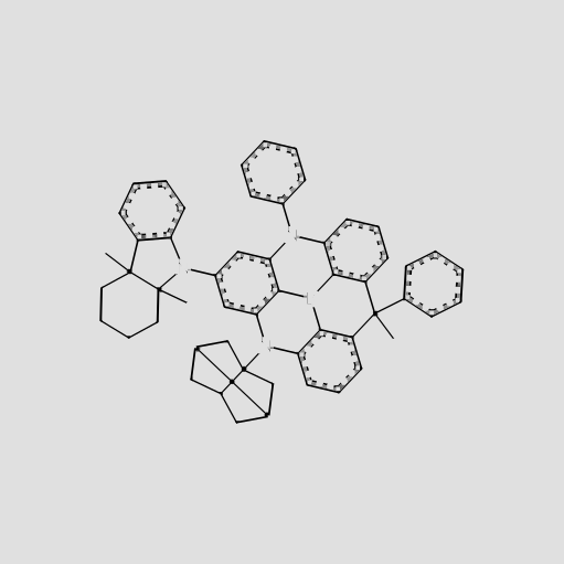 CC1(c2ccccc2)c2cccc3c2B2c4c(cc(N5c6ccccc6C6(C)CCCCC56C)cc4N(C45CC6CC4CC6C5)c4cccc1c42)N3c1ccccc1